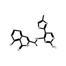 Cc1csc(-c2cnc(N)nc2N[C@@H](C)c2cc3cccc(Cl)c3c(=O)[nH]2)n1